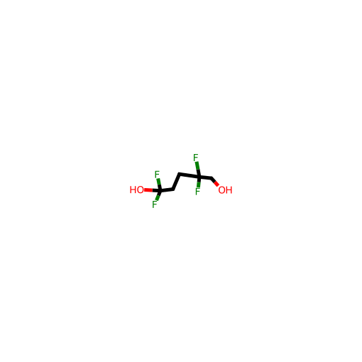 OCC(F)(F)CCC(O)(F)F